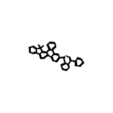 CC1(C)c2ccccc2-c2ccc3c4ccc(-c5ncc(-c6ccccc6)c6ccccc56)cc4c4ccccc4c3c21